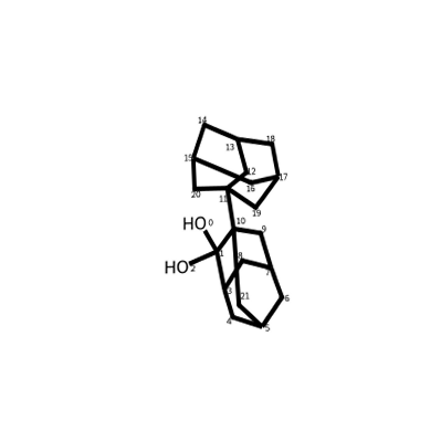 OC1(O)C2CC3CC(C2)CC1(C12CC4CC(CC(C4)C1)C2)C3